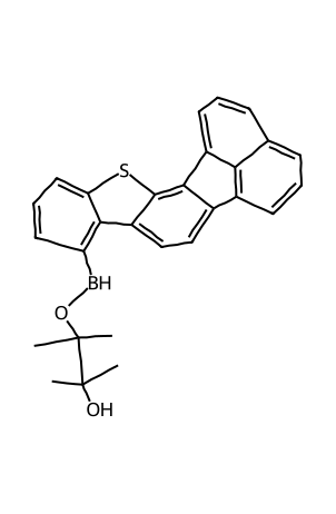 CC(C)(O)C(C)(C)OBc1cccc2sc3c4c(ccc3c12)-c1cccc2cccc-4c12